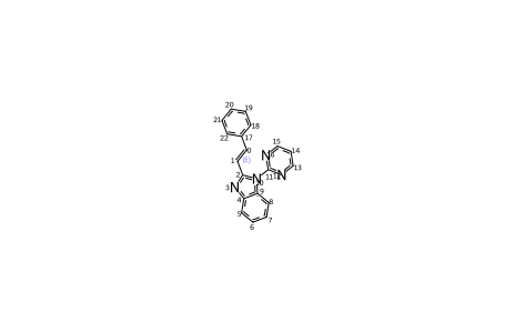 C(=C\c1nc2ccccc2n1-c1ncccn1)/c1ccccc1